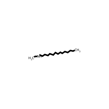 C[CH]NCCCCCCCCCCCCCCC